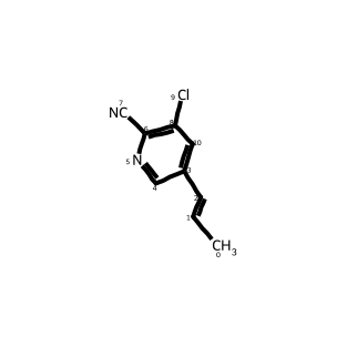 C/C=C/c1cnc(C#N)c(Cl)c1